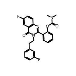 CN(C)C(=O)Oc1ccccc1-c1nc2ccc(F)cc2c(=O)n1CCc1cccc(F)c1